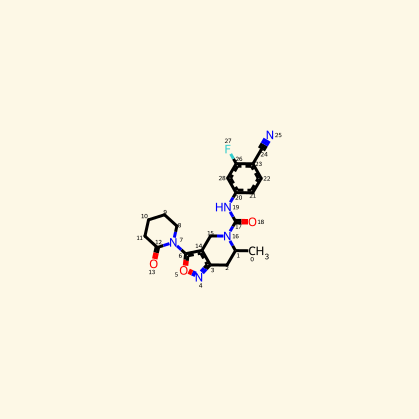 CC1Cc2noc(N3CCCCC3=O)c2CN1C(=O)Nc1ccc(C#N)c(F)c1